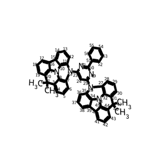 CC1(C)c2cccc3c2-n2c4c(cccc4c4cccc1c42)N3c1cc(N2c3cccc4c3-n3c5c2cccc5c2cccc(c23)C4(C)C)nc(-c2ccccc2)n1